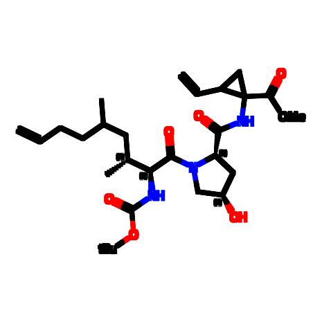 C=CCCC(C)C[C@@H](C)[C@H](NC(=O)OC(C)(C)C)C(=O)N1C[C@H](O)C[C@H]1C(=O)NC1(C(=O)OC)CC1C=C